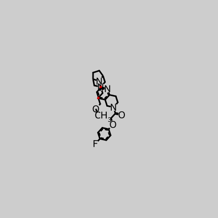 COCCCN1CC2CCC(C1)N2c1ccc2c(n1)CCN(C(=O)COc1ccc(F)cc1)C2